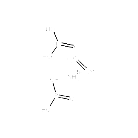 C=C.N.N.O=[PH](O)O.O=[PH](O)O